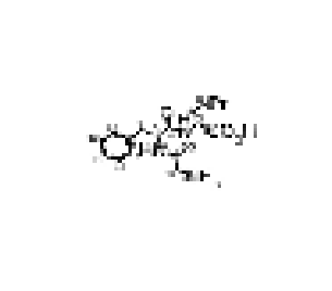 CC(C)C[C@H](NC(=O)[C@H](Cc1ccccc1)NC(=O)CN)C(=O)O